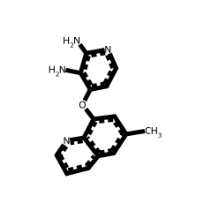 Cc1cc(Oc2ccnc(N)c2N)c2ncccc2c1